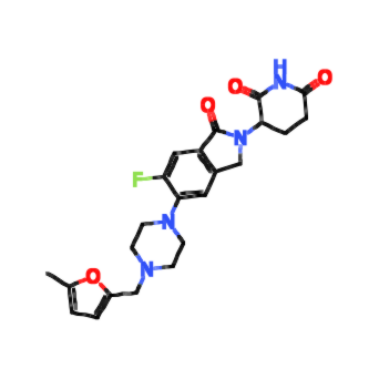 Cc1ccc(CN2CCN(c3cc4c(cc3F)C(=O)N(C3CCC(=O)NC3=O)C4)CC2)o1